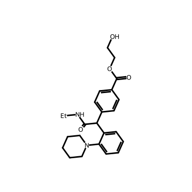 CCNC(=O)C(c1ccc(C(=O)OCCO)cc1)c1ccccc1N1CCCCC1